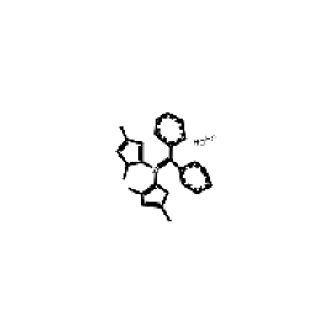 CC1=CC(C)[C]([Zr]([C]2=C(C)C=C(C)C2)=[C](c2ccccc2)c2ccccc2)=C1.Cl.Cl